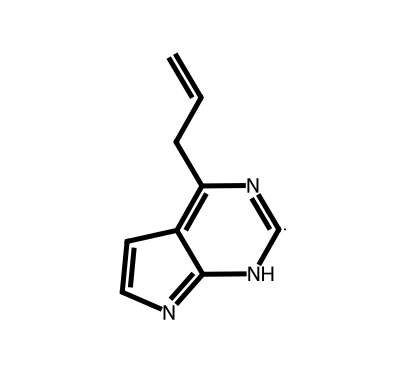 C=CCc1n[c][nH]c2nccc1-2